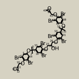 CC(C)(Oc1cc(Br)c(OCC2CO2)c(Br)c1)c1cc(Br)c(OCC(O)COc2c(Br)cc(C(C)(C)Oc3cc(Br)c(OCC4CO4)c(Br)c3)cc2Br)c(Br)c1